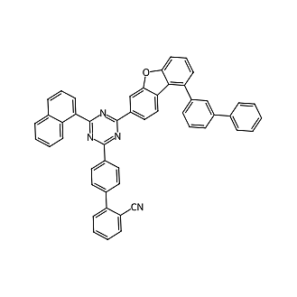 N#Cc1ccccc1-c1ccc(-c2nc(-c3ccc4c(c3)oc3cccc(-c5cccc(-c6ccccc6)c5)c34)nc(-c3cccc4ccccc34)n2)cc1